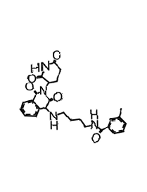 Cc1cccc(C(=O)NCCCCNC2C(=O)N(C3CCC(=O)NC3=O)C(=O)c3ccccc32)c1